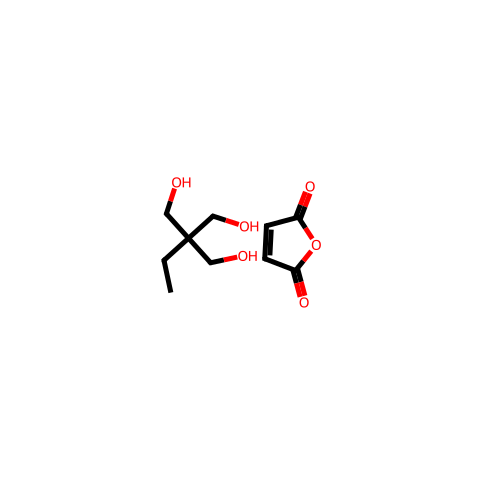 CCC(CO)(CO)CO.O=C1C=CC(=O)O1